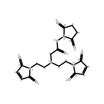 O=C(CN(CCN1C(=O)C=CC1=O)CCN1C(=O)C=CC1=O)ON1C(=O)CCC1=O